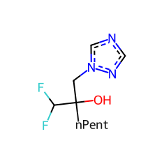 CCCCCC(O)(Cn1cncn1)C(F)F